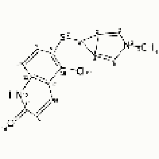 Cn1cc2c(c1)C2Sc1ccc2[nH]c(=O)ccc2c1Cl